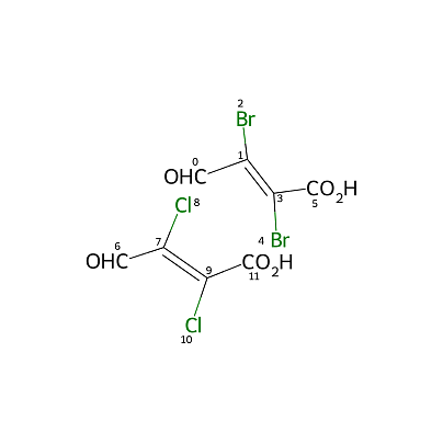 O=CC(Br)=C(Br)C(=O)O.O=CC(Cl)=C(Cl)C(=O)O